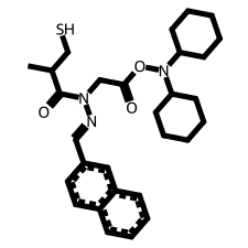 CC(CS)C(=O)N(CC(=O)ON(C1CCCCC1)C1CCCCC1)N=Cc1ccc2ccccc2c1